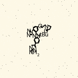 CC(C)(C)n1c(-c2cc(OCCN3CCCC3=O)ccc2-n2cncn2)nc2cc(-c3cnc(N)nc3)ccc21